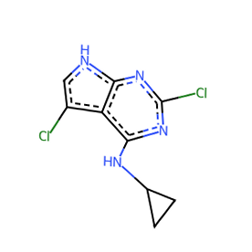 Clc1nc(NC2CC2)c2c(Cl)c[nH]c2n1